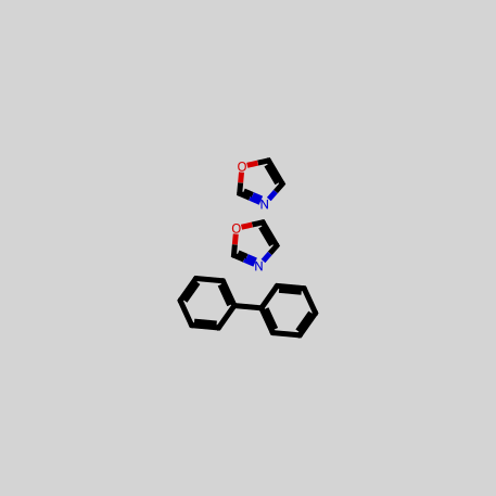 c1ccc(-c2ccccc2)cc1.c1cocn1.c1cocn1